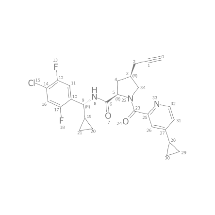 C#CC[C@@H]1C[C@H](C(=O)N[C@@H](c2cc(F)c(Cl)cc2F)C2CC2)N(C(=O)c2cc(C3CC3)ccn2)C1